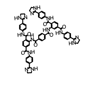 O=C(Nc1ccc(C2=NCCN2)cc1)c1ccc(C(=O)Nc2ccc(C3=NCCN3)cc2)c(NC(=O)c2ccc(C(=O)Nc3cc(C(=O)Nc4ccc(C5=NCCN5)cc4)ccc3C(=O)Nc3ccc(C4=NCCN4)cc3)cc2)c1